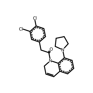 O=C(Cc1ccc(Cl)c(Cl)c1)N1CC=Cc2cccc(N3CCCC3)c21